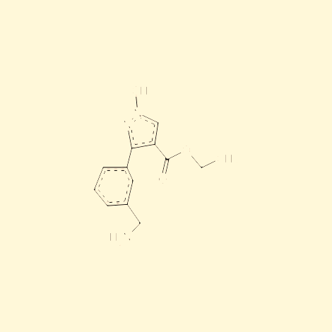 CCOC(=O)c1cn(C)nc1-c1cccc(CN)c1